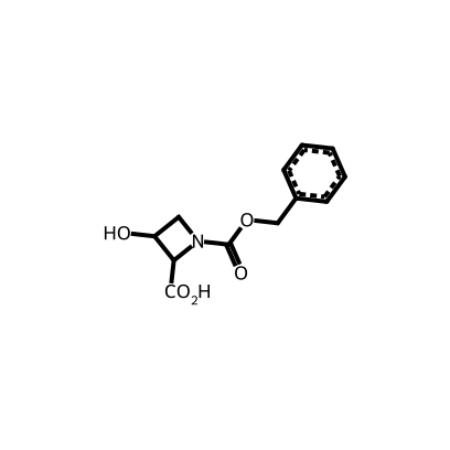 O=C(O)C1C(O)CN1C(=O)OCc1ccccc1